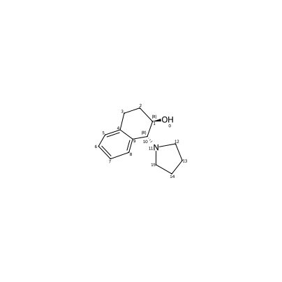 O[C@@H]1CCc2ccccc2[C@H]1N1CCCC1